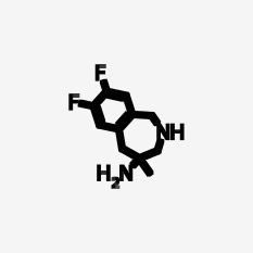 CC1(N)CNCc2cc(F)c(F)cc2C1